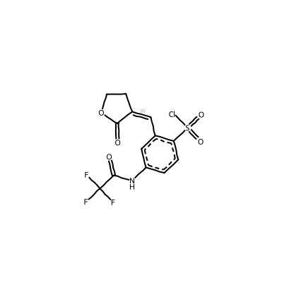 O=C1OCC/C1=C/c1cc(NC(=O)C(F)(F)F)ccc1S(=O)(=O)Cl